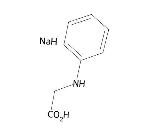 O=C(O)CNc1ccccc1.[NaH]